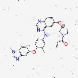 C=CC(=O)N1CC[C@H](Oc2ccc3ncnc(Nc4ccc(Oc5ccc6c(c5)ncn6C)c(C)c4)c3c2)C1